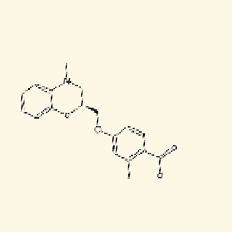 Cc1cc(OC[C@@H]2CN(C)c3ccccc3O2)ccc1C(=O)Cl